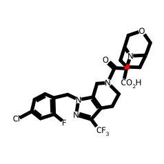 O=C(O)C1CC2COCC(C1)N2CC(=O)N1CCc2c(C(F)(F)F)nn(Cc3ccc(Cl)cc3F)c2C1